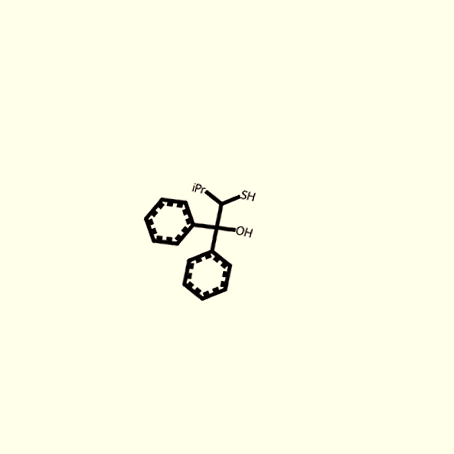 CC(C)C(S)C(O)(c1ccccc1)c1ccccc1